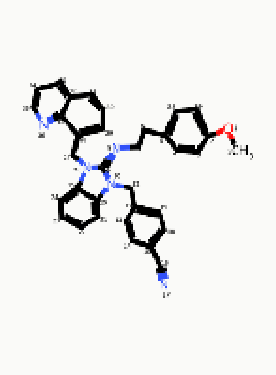 COc1ccc(CC/N=c2\n(Cc3ccc(C#N)cc3)c3ccccc3n2Cc2cccc3cccnc23)cc1